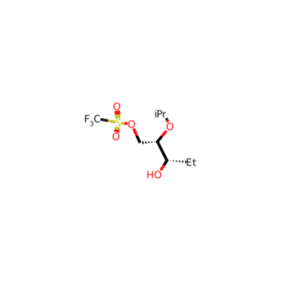 CC[C@H](O)[C@H](COS(=O)(=O)C(F)(F)F)OC(C)C